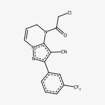 N#Cc1c(-c2cccc(C(F)(F)F)c2)nn2c1N(C(=O)CCl)CC=C2